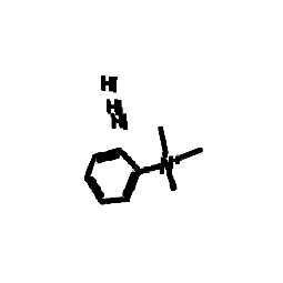 C[N+](C)(C)c1ccccc1.I.I.I